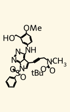 COc1ccc(Nc2ncnc3c2c(C#CCN(C)C(=O)OC(C)(C)C)cn3S(=O)(=O)c2ccccc2)cc1CO